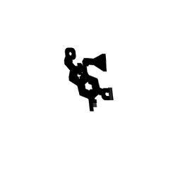 O=Cc1cc2cc(F)c(Cl)cc2n1CC1CC1